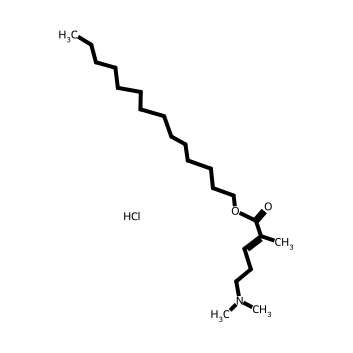 CCCCCCCCCCCCCCOC(=O)C(C)=CCCN(C)C.Cl